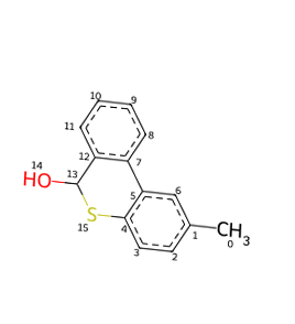 Cc1ccc2c(c1)-c1ccccc1C(O)S2